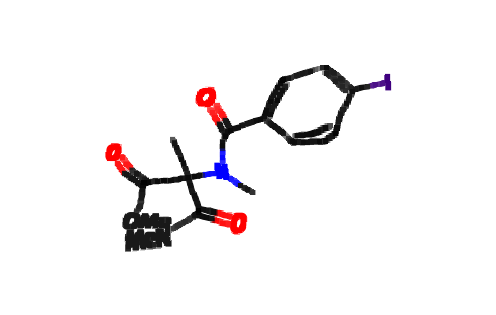 CNC(=O)C(C)(C(=O)OC)N(C)C(=O)c1ccc(I)cc1